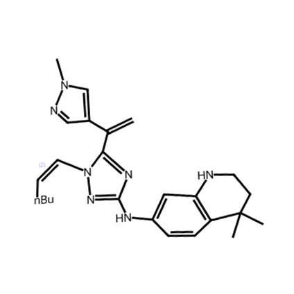 C=C(c1cnn(C)c1)c1nc(Nc2ccc3c(c2)NCCC3(C)C)nn1/C=C\CCCC